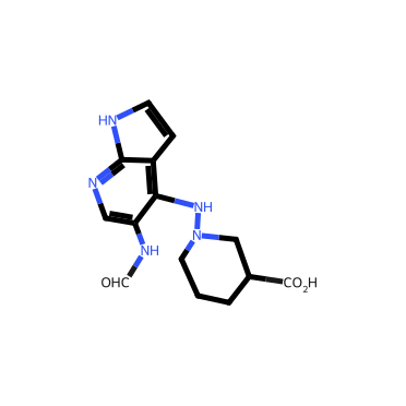 O=CNc1cnc2[nH]ccc2c1NN1CCCC(C(=O)O)C1